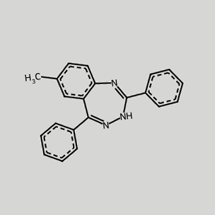 Cc1ccc2c(c1)C(c1ccccc1)=NNC(c1ccccc1)=N2